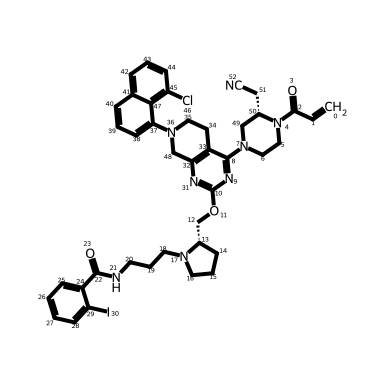 C=CC(=O)N1CCN(c2nc(OC[C@@H]3CCCN3CCCNC(=O)c3ccccc3I)nc3c2CCN(c2cccc4cccc(Cl)c24)C3)C[C@@H]1CC#N